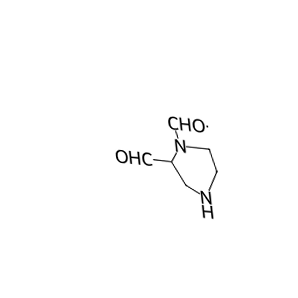 O=[C]N1CCNCC1C=O